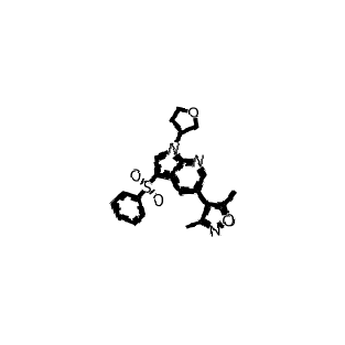 Cc1noc(C)c1-c1cnc2c(c1)c(S(=O)(=O)c1ccccc1)cn2C1CCOC1